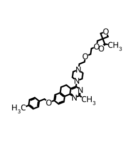 CC(=O)C1(COCCOCCN2CCN(c3nc(C)nc4c3CCc3cc(OCc5ccc(C)cc5)ccc3-4)CC2)COC1